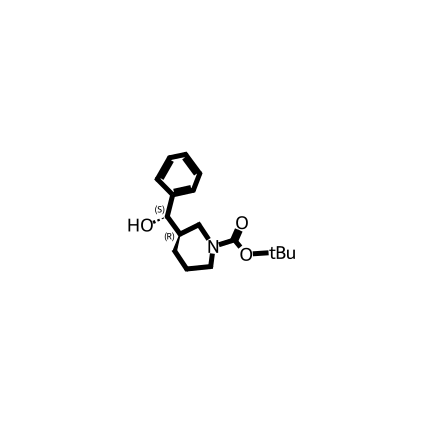 CC(C)(C)OC(=O)N1CCC[C@@H]([C@H](O)c2ccccc2)C1